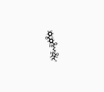 CC(C)C(C)(C(=O)NCCCNC(=O)c1ccc(C(=O)c2ccccc2)cc1)C(C)C